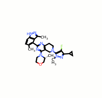 Cc1ccc2[nH]nc(C)c2c1-c1nc2c(c(N3CCOC[C@H]3C)n1)CN(c1c(F)c(C3CC3)nn1C)CC2